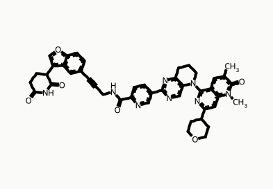 Cc1cc2c(N3CCCc4nc(-c5ccc(C(=O)NCC#Cc6ccc7occ(C8CCC(=O)NC8=O)c7c6)nc5)ncc43)nc(C3CCOCC3)cc2n(C)c1=O